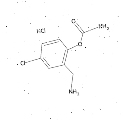 Cl.NCc1cc(Cl)ccc1OC(N)=O